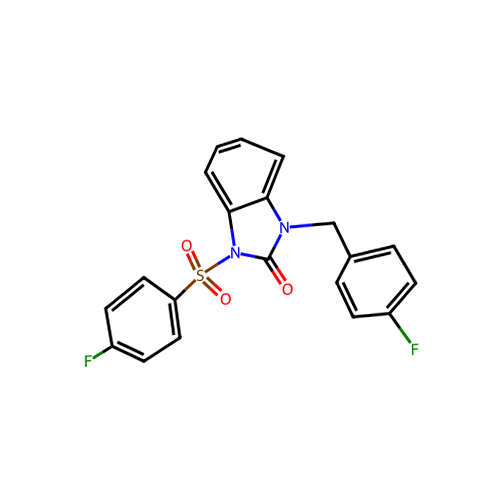 O=c1n(Cc2ccc(F)cc2)c2ccccc2n1S(=O)(=O)c1ccc(F)cc1